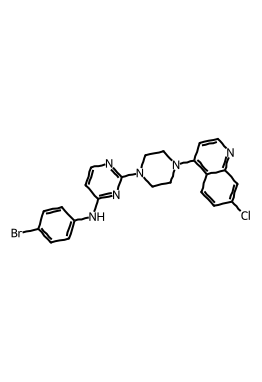 Clc1ccc2c(N3CCN(c4nccc(Nc5ccc(Br)cc5)n4)CC3)ccnc2c1